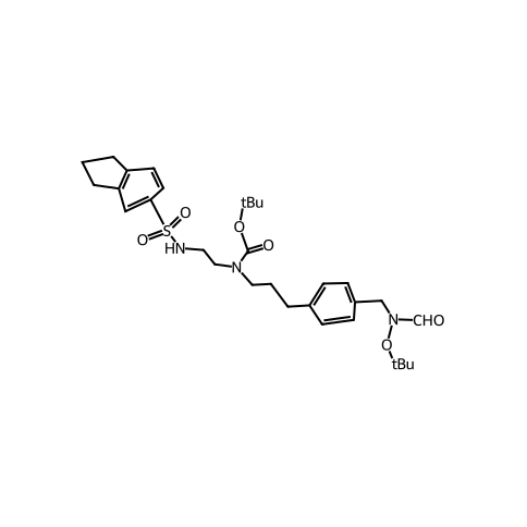 CC(C)(C)OC(=O)N(CCCc1ccc(CN(C=O)OC(C)(C)C)cc1)CCNS(=O)(=O)c1ccc2c(c1)CCC2